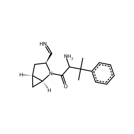 CC(C)(c1ccccc1)C(N)C(=O)N1[C@H](C=N)C[C@@H]2C[C@@H]21